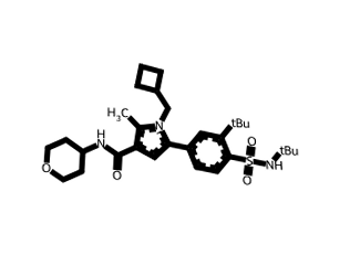 Cc1c(C(=O)NC2CCOCC2)cc(-c2ccc(S(=O)(=O)NC(C)(C)C)c(C(C)(C)C)c2)n1CC1CCC1